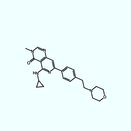 Cn1cnc2cc(-c3ccc(CCN4CCOCC4)cc3)nc(NC3CC3)c2c1=O